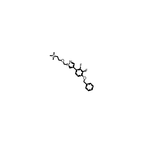 C[Si](C)(C)CCOCn1cc(-c2ccc(OCc3ccccc3)c(F)c2F)cn1